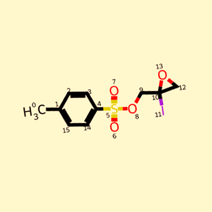 Cc1ccc(S(=O)(=O)OCC2(I)CO2)cc1